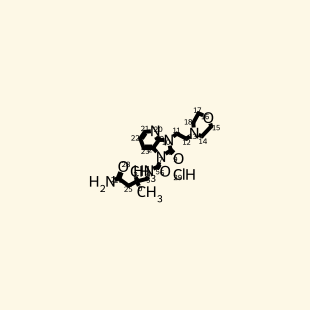 CC(C)(CNC(=O)n1c(=O)n(CCN2CCOCC2)c2ncccc21)CC(N)=O.Cl